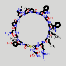 CCCC[C@H]1C(=O)N(C)[C@@H](CCCC)C(=O)N[C@@H](CCCNC(=N)N)C(=O)NC(C(=O)N[C@@H](CO)C(N)=O)CSCC(=O)N[C@@H](Cc2ccc(O)cc2)C(=O)N(C)[C@@H](C)C(=O)N[C@@H](CC(N)=O)C(=O)N2CCC[C@H]2C(=O)N[C@@H](Cc2cnc[nH]2)C(=O)N[C@@H](CC(C)C)C(=O)N2CCC[C@H]2C(=O)N[C@@H](Cc2c[nH]c3ccccc23)C(=O)N[C@@H](CO)C(=O)N[C@@H](Cc2c[nH]c3ccccc23)C(=O)N1C